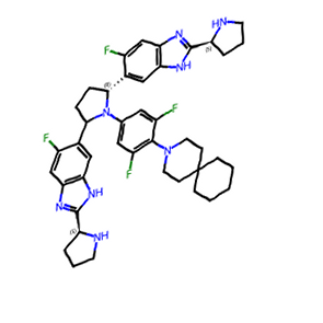 Fc1cc2nc([C@@H]3CCCN3)[nH]c2cc1C1CC[C@H](c2cc3[nH]c([C@@H]4CCCN4)nc3cc2F)N1c1cc(F)c(N2CCC3(CCCCC3)CC2)c(F)c1